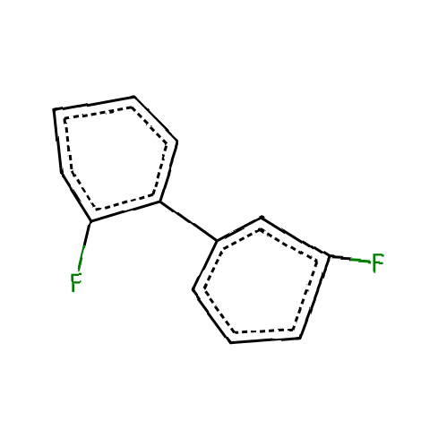 Fc1cccc(-c2ccccc2F)c1